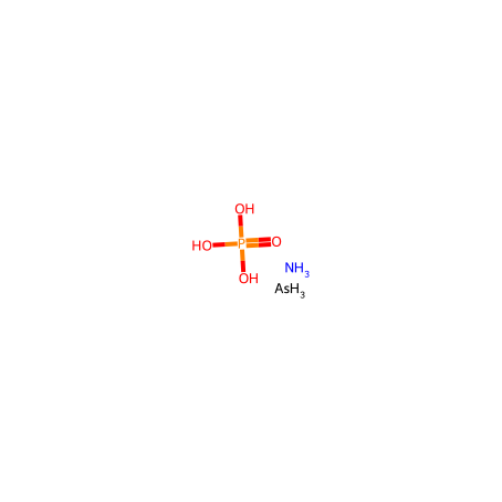 N.O=P(O)(O)O.[AsH3]